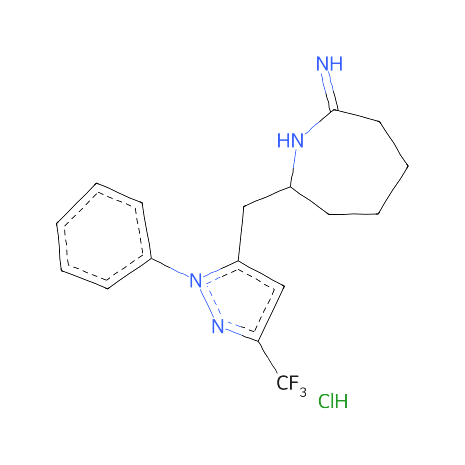 Cl.N=C1CCCCC(Cc2cc(C(F)(F)F)nn2-c2ccccc2)N1